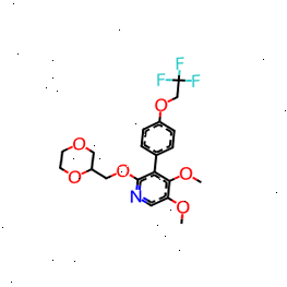 COc1cnc(OCC2COCCO2)c(-c2ccc(OCC(F)(F)F)cc2)c1OC